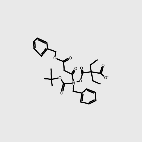 CCC(CC)(C(=O)[O-])C(=O)O[N+](Cc1ccccc1)(C(=O)CC(=O)OCc1ccccc1)C(=O)OC(C)(C)C